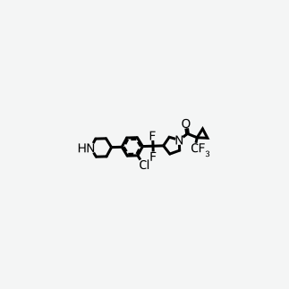 O=C(N1CCC(C(F)(F)c2ccc(C3CCNCC3)cc2Cl)C1)C1(C(F)(F)F)CC1